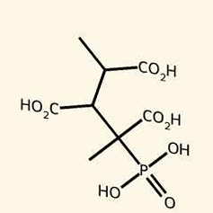 CC(C(=O)O)C(C(=O)O)C(C)(C(=O)O)P(=O)(O)O